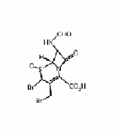 O=CNC1C(=O)N2C(C(=O)O)=C(CBr)C(Br)[S+]([O-])[C@H]12